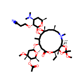 CC[C@H]1OC(=O)[C@H](C)[C@@H](O[C@H]2C[C@@](C)(OC)[C@@H](OC(C)=O)[C@H](C)O2)C(C)[C@@H](O[C@@H]2O[C@H](C)C[C@H](N(C)C)[C@H]2OCCC#N)[C@](C)(O)C[C@@H](C)CN(C)[C@H](C)[C@H]2OC(C)(OC)O[C@@]21C